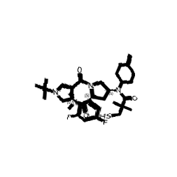 C=C1CCC(N(C(=O)C(C)(C)CS)[C@H]2C[C@@H](C(=O)N(C)C)N(C(=O)C3CN(C(C)(C)C)C[C@@H]3c3ccc(F)cc3F)C2)CC1